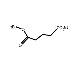 CCOC(=O)CCCC(=O)OC(C)(C)C